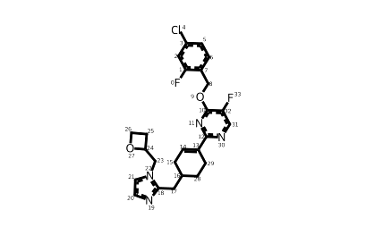 Fc1cc(Cl)ccc1COc1nc(C2=CCC(Cc3nccn3CC3CCO3)CC2)ncc1F